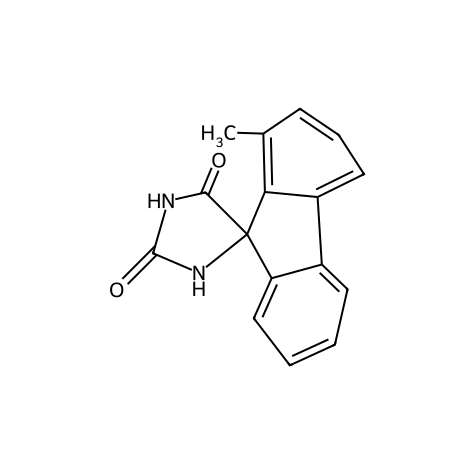 Cc1cccc2c1C1(NC(=O)NC1=O)c1ccccc1-2